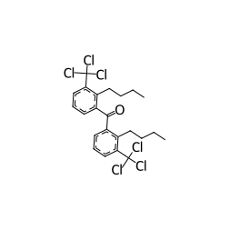 CCCCc1c(C(=O)c2cccc(C(Cl)(Cl)Cl)c2CCCC)cccc1C(Cl)(Cl)Cl